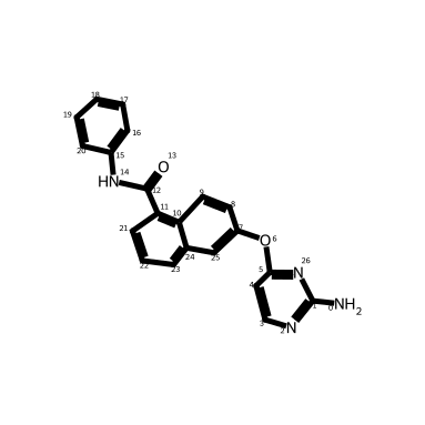 Nc1nccc(Oc2ccc3c(C(=O)Nc4ccccc4)cccc3c2)n1